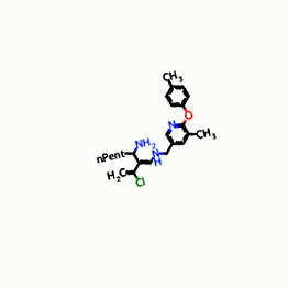 C=C(Cl)/C(=C/NCc1cnc(Oc2ccc(C)cc2)c(C)c1)C(N)CCCCC